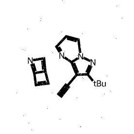 C#Cc1c(C(C)(C)C)nn2cccnc12.c1cc2ncc1-2